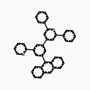 c1ccc(-c2cc(-c3cc(-c4ccccn4)cc(-c4c5ccccc5cc5ccccc45)c3)cc(-c3ccccc3)n2)cc1